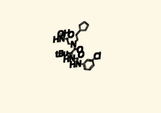 CC(C)(C)[C@H](NC(=O)Nc1cccc(Cl)c1)C(=O)N(CCC1CCCC1)CC(=O)NO